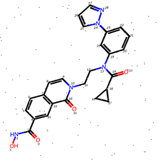 O=C(NO)c1ccc2ccn(CCN(C(=O)C3CC3)c3cccc(-n4cccn4)c3)c(=O)c2c1